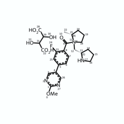 COc1ncc(-c2ccc(C(=O)[N+]3(C[C@@H]4CCCN4)CCC[C@H]3C)c(F)c2)cn1.O=C(O)C(O)C(O)C(=O)O